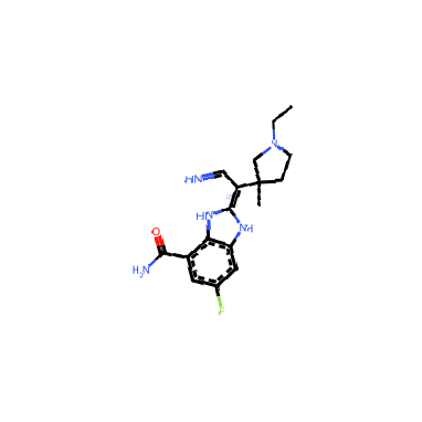 CCN1CCC(C)(/C(C=N)=C2\Nc3cc(F)cc(C(N)=O)c3N2)C1